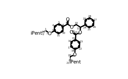 CCC[C@@H](C)COc1ccc(C(=O)OCC(OC(=O)c2ccc(OC[C@H](C)CCC)cc2)c2ccccc2)cc1